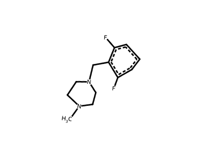 CN1CCN(Cc2c(F)cccc2F)CC1